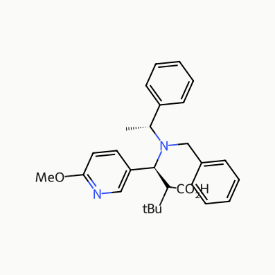 COc1ccc([C@H](C(C(=O)O)C(C)(C)C)N(Cc2ccccc2)[C@H](C)c2ccccc2)cn1